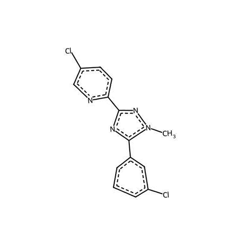 Cn1nc(-c2ccc(Cl)cn2)nc1-c1cccc(Cl)c1